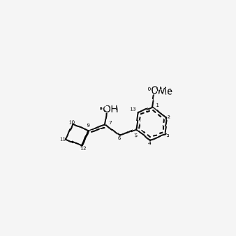 COc1cccc(CC(O)=C2CCC2)c1